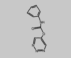 O=C(Nc1ccccc1)Oc1cnnnc1